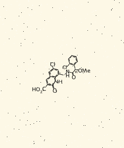 CO[C@@H](C(=O)NCc1cc(Cl)cc2cc(C(=O)O)c(=O)[nH]c12)c1ccccc1Cl